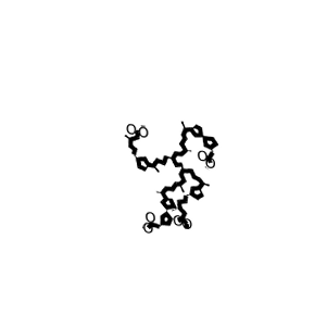 COC(=O)C[C@H](C)CCC[C@H]1CC[C@H]([C@H](C)CCC[C@@H](CC[C@@H](C)CCC[C@@H](C)[C@H]2CC[C@H](C3CC[C@H](CC(=O)OC)C3)C2)CC[C@@H](CCC[C@@H](C)[C@H]2CC[C@H](CCC[C@@H](C)CC(=O)OC)C2)CC[C@@H](C)CCC[C@@H](C)[C@H]2CC[C@H](C3CC[C@H](CC(=O)OC)C3)C2)C1